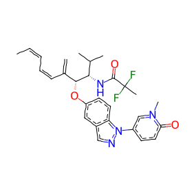 C=C(/C=C\C=C/C)[C@@H](Oc1ccc2c(cnn2-c2ccc(=O)n(C)c2)c1)[C@@H](NC(=O)C(C)(F)F)C(C)C